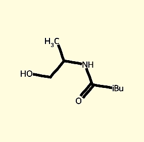 CCC(C)C(=O)NC(C)CO